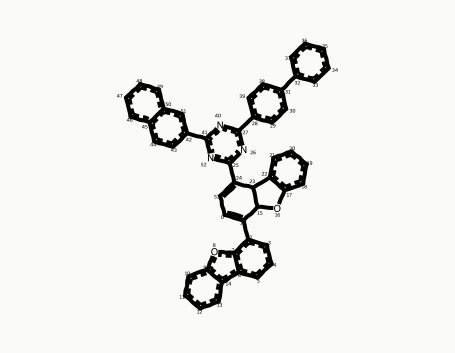 C1=C(c2cccc3c2oc2ccccc23)C2Oc3ccccc3C2C(c2nc(-c3ccc(-c4ccccc4)cc3)nc(-c3ccc4ccccc4c3)n2)=C1